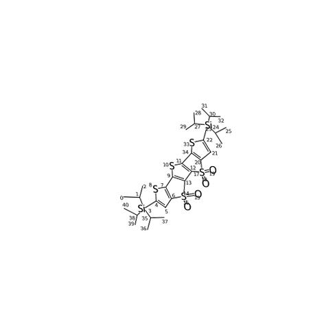 CC(C)[Si](c1cc2c(s1)-c1sc3c(c1S2(=O)=O)S(=O)(=O)c1cc([Si](C(C)C)(C(C)C)C(C)C)sc1-3)(C(C)C)C(C)C